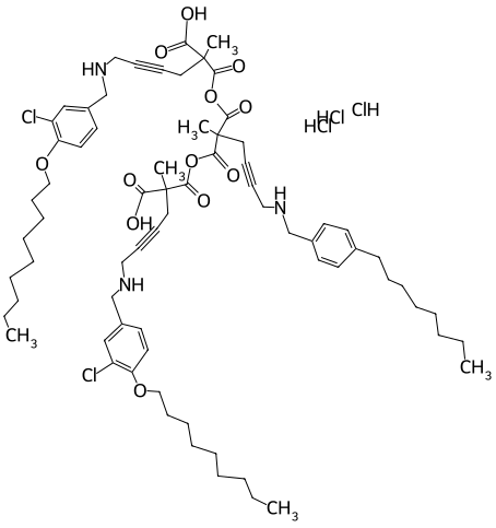 CCCCCCCCCOc1ccc(CNCC#CCC(C)(C(=O)O)C(=O)OC(=O)C(C)(CC#CCNCc2ccc(CCCCCCCC)cc2)C(=O)OC(=O)C(C)(CC#CCNCc2ccc(OCCCCCCCCC)c(Cl)c2)C(=O)O)cc1Cl.Cl.Cl.Cl